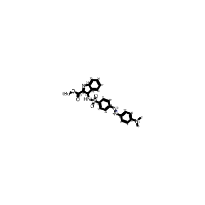 CN(C)c1ccc(/N=N/c2ccc(S(=O)(=O)NC3C(C(=O)OC(C)(C)C)=Nc4ccccc43)cc2)cc1